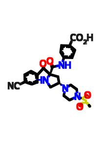 CS(=O)(=O)N1CCN([C@@H]2CN[C@](C(=O)Nc3ccc(C(=O)O)cc3)(C(=O)c3ccc(C#N)cc3)C2)CC1